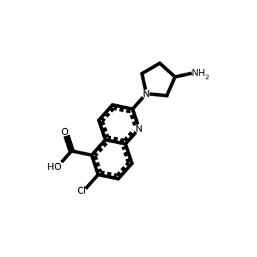 NC1CCN(c2ccc3c(C(=O)O)c(Cl)ccc3n2)C1